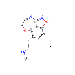 CNCCc1ccc2onc3c2c1OCC=N3